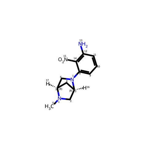 CN1C[C@H]2C[C@@H]1CN2c1cccc(N)c1[N+](=O)[O-]